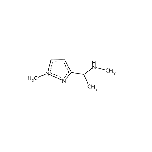 CNC(C)c1ccn(C)n1